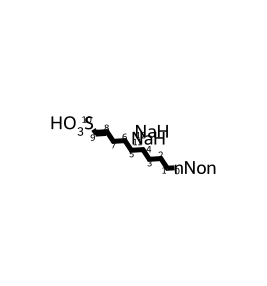 CCCCCCCCCCCCCCCCC=CS(=O)(=O)O.[NaH].[NaH]